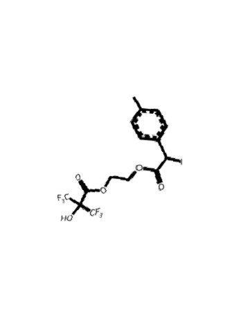 Cc1ccc(C(I)C(=O)OCCOC(=O)C(O)(C(F)(F)F)C(F)(F)F)cc1